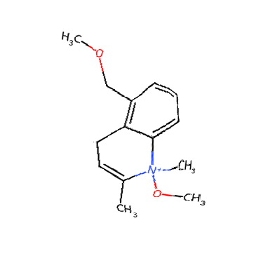 COCc1cccc2c1[CH]C=C(C)[N+]2(C)OC